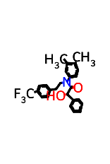 Cc1ccc(N(CCc2ccc(C(F)(F)F)cc2)C(=O)C(O)c2ccccc2)cc1C